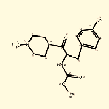 CN1CCN(C(=O)C(Cc2ccc(C#N)cc2)NC(=O)OC(C)(C)C)CC1